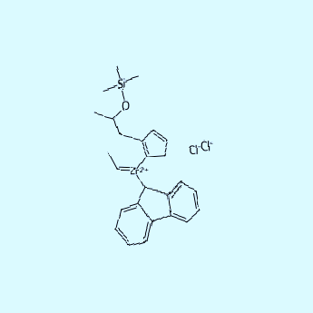 C[CH]=[Zr+2]([C]1=C(CC(C)O[Si](C)(C)C)C=CC1)[CH]1c2ccccc2-c2ccccc21.[Cl-].[Cl-]